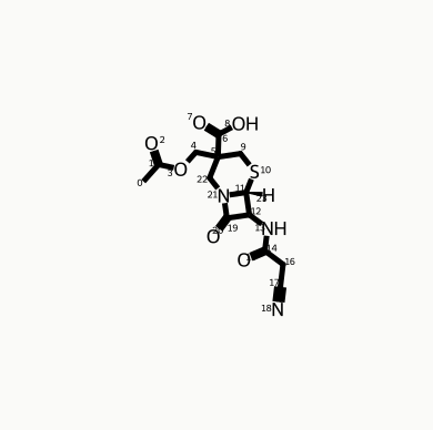 CC(=O)OCC1(C(=O)O)CS[C@@H]2C(NC(=O)CC#N)C(=O)N2C1